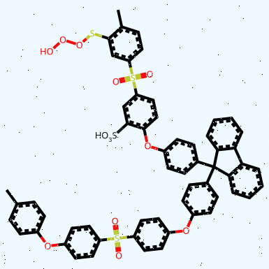 Cc1ccc(Oc2ccc(S(=O)(=O)c3ccc(Oc4ccc(C5(c6ccc(Oc7ccc(S(=O)(=O)c8ccc(C)c(SOOO)c8)cc7S(=O)(=O)O)cc6)c6ccccc6-c6ccccc65)cc4)cc3)cc2)cc1